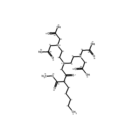 CCCCCC(C(=O)CN(CCN(CC(=O)O)CC(=O)O)CCN(CC(=O)O)CC(=O)O)C(=O)OC